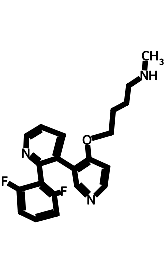 CNCCCCOc1ccncc1-c1cccnc1-c1c(F)cccc1F